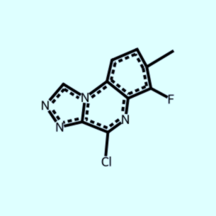 Cc1ccc2c(nc(Cl)c3nncn32)c1F